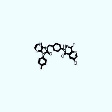 Cc1ccc(-n2c(=O)n(CC3CCC(NC(=O)c4cc(Cl)cnc4C(F)F)CC3)c3nccnc32)cc1